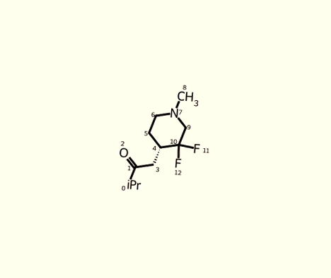 CC(C)C(=O)C[C@@H]1CCN(C)CC1(F)F